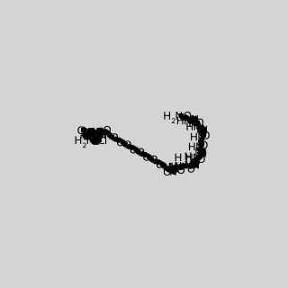 CC(=O)N1c2ccc(-c3ccc(C(=O)NCCOCCOCCOCCOCCOCCOCCOCCOCCNC(=O)c4nc(NC(=O)CCNC(=O)c5cc(NC(=O)c6nc(NC(=O)CCNC(=O)c7cc(NC(=O)c8nc(NC(=O)CCN)cn8C)cn7C)cn6C)cn5C)cn4C)cc3)c(-c3cc(Cl)ccc3N)c2CC[C@@H]1C